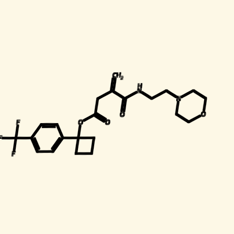 C=C(CC(=O)OC1(c2ccc(C(F)(F)F)cc2)CCC1)C(=O)NCCN1CCOCC1